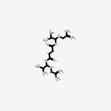 C=C(C)COC(OC(=O)CCC(=O)OC(OCC(=C)C)C(C)O)C(C)O